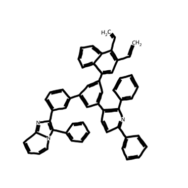 C=Cc1cc(-c2cc(-c3cccc(-c4nc5ccccn5c4-c4ccccc4)c3)cc(-c3ccc(-c4ccccc4)nc3-c3ccccc3)c2)c2ccccc2c1C=C